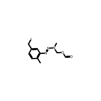 Cc1ccc(CI)cc1/N=N/N(C)COC=O